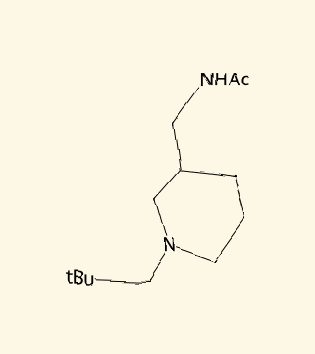 CC(=O)NCC1CCCN(CC(C)(C)C)C1